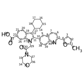 Cc1ccc(-c2ccc3cc(-c4c(C5CCCCC5)c5ccc(C(=O)O)cc5n4CC(=O)N4CCOCC4)ccc3n2)o1